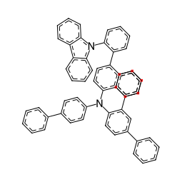 c1ccc(-c2ccc(N(c3ccc(-c4ccccc4)cc3-c3ccccc3)c3ccc(-c4ccccc4-n4c5ccccc5c5ccccc54)c4ccccc34)cc2)cc1